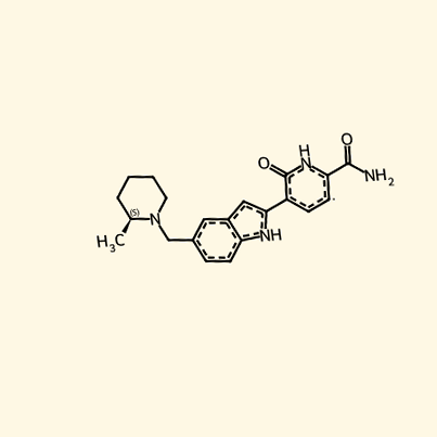 C[C@H]1CCCCN1Cc1ccc2[nH]c(-c3c[c]c(C(N)=O)[nH]c3=O)cc2c1